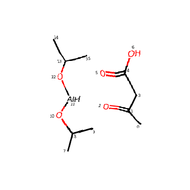 CC(=O)CC(=O)O.CC(C)[O][AlH][O]C(C)C